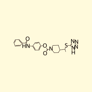 CC(Sc1nnn[nH]1)C1CCN(C(=O)Oc2ccc(NC(=O)c3ccccc3)cc2)CC1